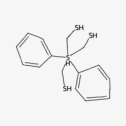 SC[SH](CS)(CS)(c1ccccc1)c1ccccc1